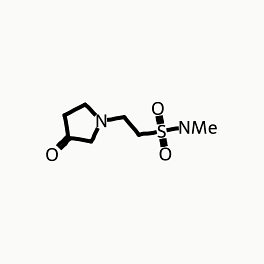 CNS(=O)(=O)CCN1CCC(=O)C1